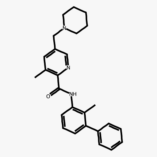 Cc1cc(CN2CCCCC2)cnc1C(=O)Nc1cccc(-c2ccccc2)c1C